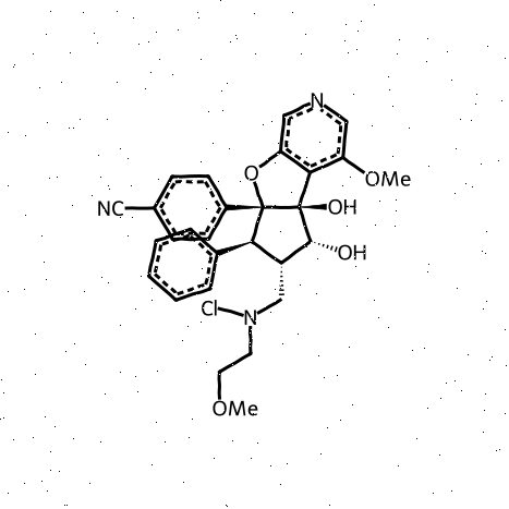 COCCN(Cl)C[C@H]1[C@@H](O)[C@@]2(O)c3c(OC)cncc3O[C@@]2(c2ccc(C#N)cc2)[C@@H]1c1ccccc1